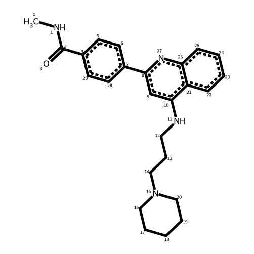 CNC(=O)c1ccc(-c2cc(NCCCN3CCCCC3)c3ccccc3n2)cc1